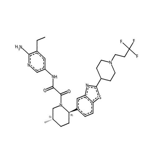 CCc1cc(NC(=O)C(=O)N2C[C@@H](C)CC[C@@H]2c2ccc3sc(C4CCN(CCC(F)(F)F)CC4)nc3c2)cnc1N